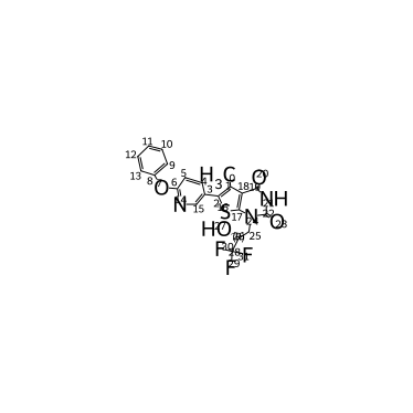 Cc1c(-c2ccc(Oc3ccccc3)nc2)sc2c1c(=O)[nH]c(=O)n2C[C@@H](O)C(F)(F)F